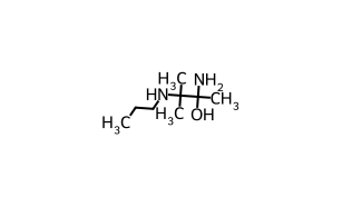 CCCNC(C)(C)C(C)(N)O